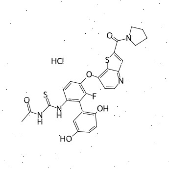 CC(=O)NC(=S)Nc1ccc(Oc2ccnc3cc(C(=O)N4CCCC4)sc23)c(F)c1-c1cc(O)ccc1O.Cl